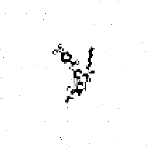 C=CCCCCN(C)C(=O)N1C[C@@H](OC(=O)c2ccc([N+](=O)[O-])cc2)C[C@H]1C(=O)N[C@]1(C(=O)OCC)C[C@H]1I